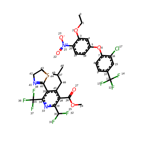 CCOc1cc(Oc2ccc(C(F)(F)F)cc2Cl)ccc1[N+](=O)[O-].COC(=O)c1c(C(F)F)nc(C(F)(F)F)c(C2=NCCS2)c1CC(C)C